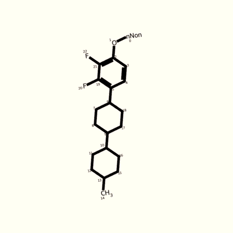 CCCCCCCCCOc1ccc(C2CCC(C3CCC(C)CC3)CC2)c(F)c1F